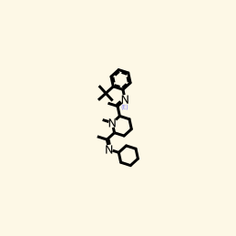 CC(=NC1CCCCC1)C1CCCC(/C(C)=N/c2ccccc2C(C)(C)C)N1C